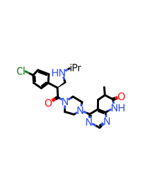 CC(C)NC[C@@H](C(=O)N1CCN(c2ncnc3c2CC(C)C(=O)N3)CC1)c1ccc(Cl)cc1